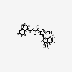 Cc1cn(-c2cc(C(=O)NCCc3ccnc4ccccc34)nn2C)c2ccccc12